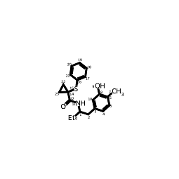 CCC(Cc1ccc(C)c(O)c1)NC(=O)C1(Sc2ccccc2)CC1